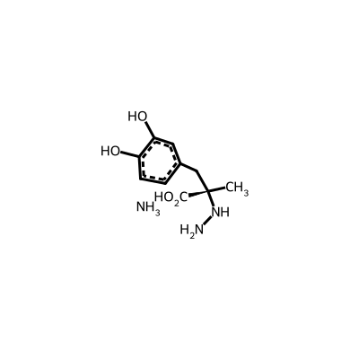 C[C@@](Cc1ccc(O)c(O)c1)(NN)C(=O)O.N